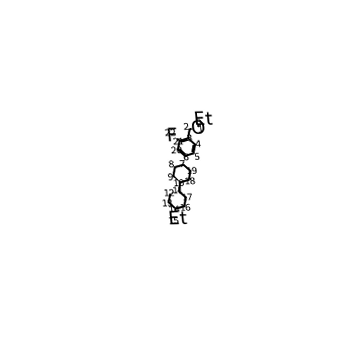 CCOCc1ccc([C@H]2CC[C@H]([C@H]3CC[C@H](CC)CC3)CC2)cc1F